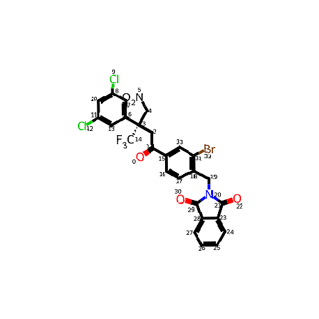 O=C(C[C@](C[N+](=O)[O-])(c1cc(Cl)cc(Cl)c1)C(F)(F)F)c1ccc(CN2C(=O)c3ccccc3C2=O)c(Br)c1